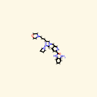 C=C(NN1CCCC1)N(CCCCCN1CCOCC1)Cc1ccc(C(=O)Nc2ccccc2N)nc1